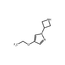 FC(F)(F)COc1cnn(C2CNC2)c1